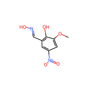 COc1cc([N+](=O)[O-])cc(C=NO)c1O